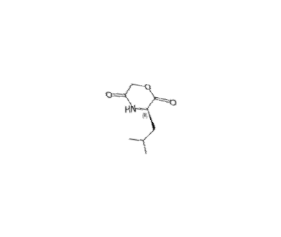 CC(C)C[C@H]1NC(=O)COC1=O